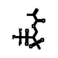 C=C(C)C(=O)OCC(S(C)(=O)=O)S(=O)(=O)C(F)(F)F